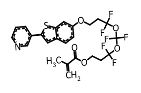 C=C(C)C(=O)OCCC(F)(F)OC(F)(F)OC(F)(F)CCOc1ccc2cc(-c3cccnc3)sc2c1